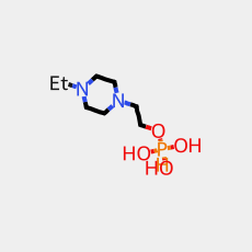 CCN1CCN(CCO[PH](O)(O)O)CC1